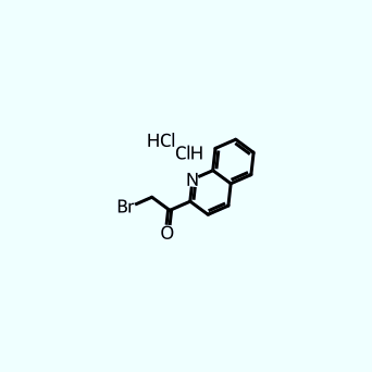 Cl.Cl.O=C(CBr)c1ccc2ccccc2n1